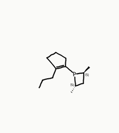 CCCC1=C(P2[C@@H](C)C[C@@H]2C)CCC1